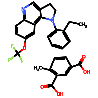 CCc1ccccc1N1CCc2cnc3ccc(OC(F)(F)F)cc3c21.Cc1ccc(C(=O)O)cc1C(=O)O